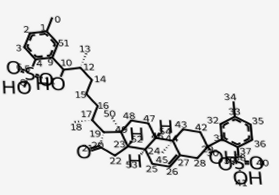 Cc1ccc(S(=O)(=O)O)c(C(O)[C@H](C)CCC[C@@H](C)[C@H]2C(=O)C[C@H]3[C@@H]4CC=C5CC(O)(c6cc(C)ccc6S(=O)(=O)O)CC[C@]5(C)[C@H]4CC[C@]23C)c1